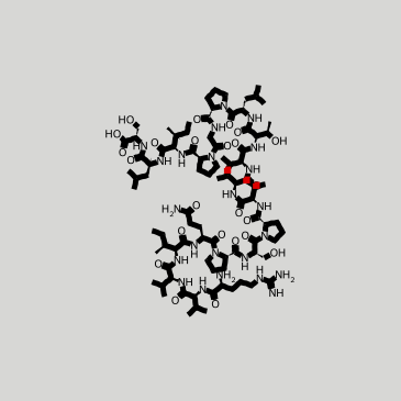 CC[C@H](C)[C@H](NC(=O)[C@@H](NC(=O)[C@@H](NC(=O)[C@@H](N)CCCNC(=N)N)C(C)C)C(C)C)C(=O)N[C@@H](CCC(N)=O)C(=O)N1CCC[C@H]1C(=O)N[C@@H](CO)C(=O)N1CCC[C@H]1C(=O)N[C@H](C(=O)N[C@H](C(=O)N[C@H](C(=O)N[C@H](C(=O)N[C@@H](CC(C)C)C(=O)N1CCC[C@H]1C(=O)NCC(=O)N1CCC[C@H]1C(=O)N[C@H](C(=O)N[C@@H](CC(C)C)C(=O)N[C@@H](CO)C(=O)O)[C@@H](C)CC)[C@@H](C)O)C(C)C)C(C)C)C(C)C